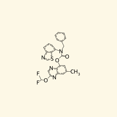 Cc1cc(OC(=O)N(Cc2ccccc2)c2cccc3ncsc23)c2ncc(OC(F)F)nc2c1